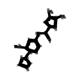 COc1cc(NC(=O)c2cc(C)c(C)o2)ccc1-c1cnco1